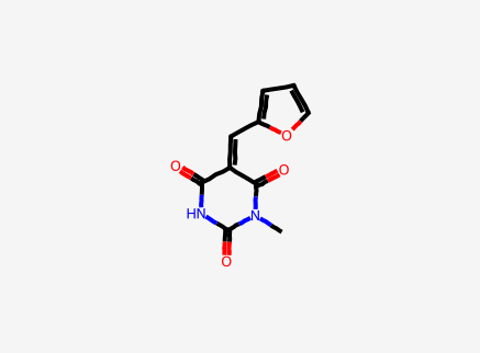 CN1C(=O)NC(=O)/C(=C/c2ccco2)C1=O